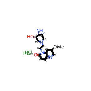 COc1cnc2ccc(=O)n(CCN3CC[C@@H](N)[C@@H](O)C3)c2c1.Cl.Cl